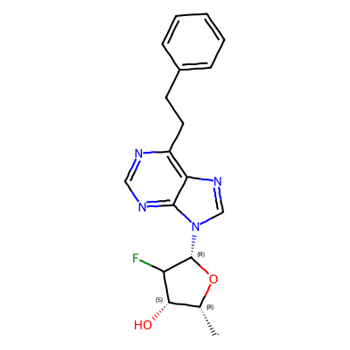 [CH2][C@H]1O[C@@H](n2cnc3c(CCc4ccccc4)ncnc32)C(F)[C@H]1O